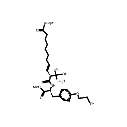 CCCCCCCC(=O)CCCCCCC=C[C@H](C(=O)N[C@@H](Cc1ccc(OCCC(C)C)cc1)C(=O)OC)[C@@](O)(CCC)C(=O)O